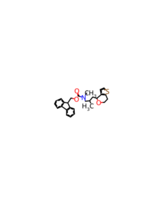 CC(CC1OCCc2sccc21)CN(C)C(=O)OCC1c2ccccc2-c2ccccc21